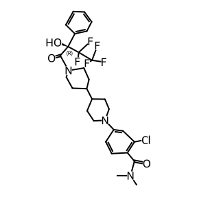 CN(C)C(=O)c1ccc(N2CCC(C3CCN(C(=O)[C@](O)(c4ccccc4)C(F)(F)C(F)(F)F)CC3)CC2)cc1Cl